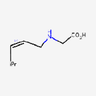 CC(C)/C=C\CNCC(=O)O